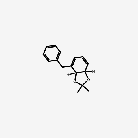 CC1(C)O[C@H]2C=CC=C(Cc3ccccc3)[C@H]2O1